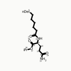 CCCCCCCCCCCCCCCC(=O)N[C@@H](CCC(N)=O)C(=O)OC(C)C